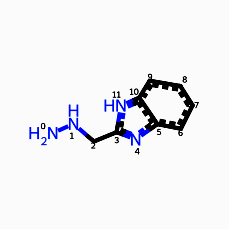 NNCc1nc2ccccc2[nH]1